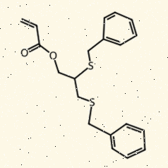 C=CC(=O)OCC(CSCc1ccccc1)SCc1ccccc1